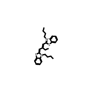 CCCCN1/C(=C\C(=C\c2sc3ccccc3[n+]2CCCC)CC)Sc2ccccc21